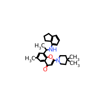 Cc1cc(C(C)Nc2cccc3c2CCC3)c2oc(N3CCC(C)(C)CC3)cc(=O)c2c1